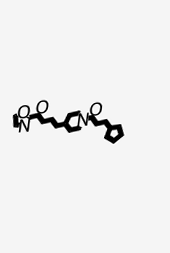 O=C(CCCC1CCN(C(=O)CCC2CCCC2)CC1)C1=NCCO1